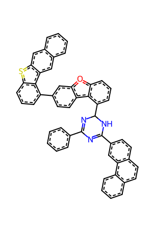 c1ccc(C2=NC(c3cccc4oc5cc(-c6cccc7sc8cc9ccccc9cc8c67)ccc5c34)NC(c3ccc4ccc5ccccc5c4c3)=N2)cc1